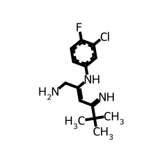 CC(C)(C)C(=N)/C=C(/CN)Nc1ccc(F)c(Cl)c1